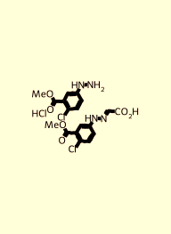 COC(=O)c1cc(NN)ccc1Cl.COC(=O)c1cc(NN=CC(=O)O)ccc1Cl.Cl